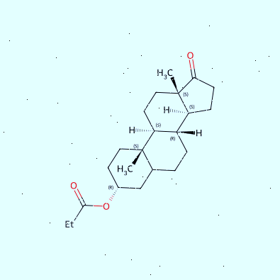 CCC(=O)O[C@@H]1CC[C@@]2(C)C(CC[C@@H]3[C@@H]2CC[C@]2(C)C(=O)CC[C@@H]32)C1